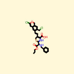 CCCOC(=O)C(NCc1ccccc1)C1NC(C(=O)O)=C(/C=C/c2cc3c(cc2CCl)COC(Cl)=C3)CS1